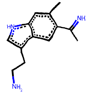 CC(=N)c1cc2c(CCN)c[nH]c2cc1C